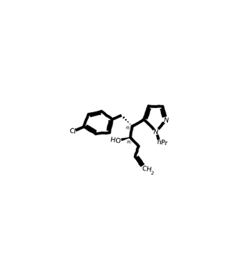 C=CC[C@@H](O)[C@H](Cc1ccc(Cl)cc1)c1ccnn1CCC